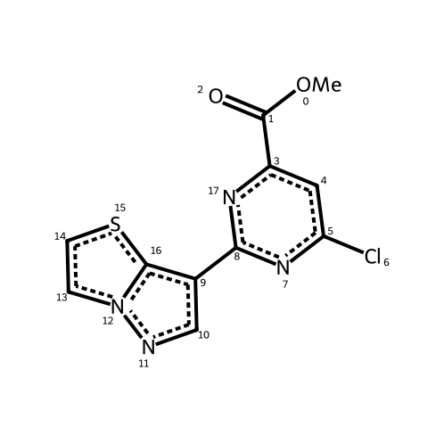 COC(=O)c1cc(Cl)nc(-c2cnn3ccsc23)n1